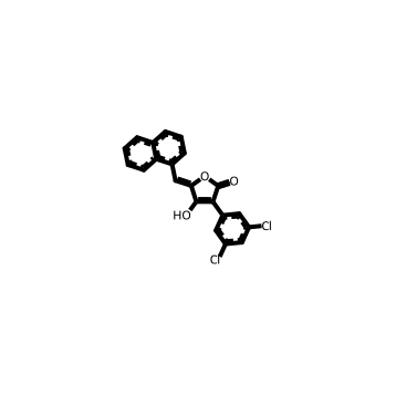 O=C1OC(=Cc2cccc3ccccc23)C(O)=C1c1cc(Cl)cc(Cl)c1